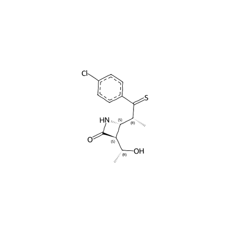 C[C@@H](O)[C@H]1C(=O)N[C@@H]1[C@@H](C)C(=S)c1ccc(Cl)cc1